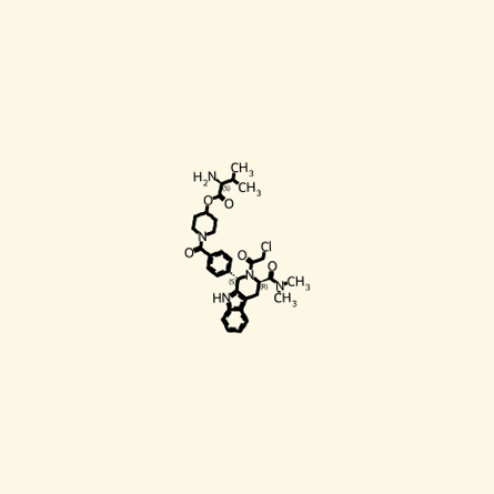 CC(C)[C@H](N)C(=O)OC1CCN(C(=O)c2ccc([C@H]3c4[nH]c5ccccc5c4C[C@H](C(=O)N(C)C)N3C(=O)CCl)cc2)CC1